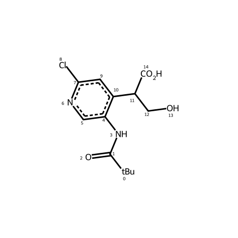 CC(C)(C)C(=O)Nc1cnc(Cl)cc1C(CO)C(=O)O